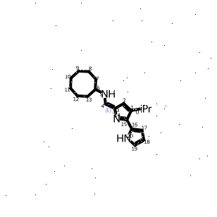 CC(C)C1=C/C(=C\NC2CCCCCCC2)N=C1c1ccc[nH]1